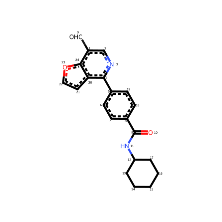 O=Cc1cnc(-c2ccc(C(=O)NC3CCCCC3)cc2)c2ccoc12